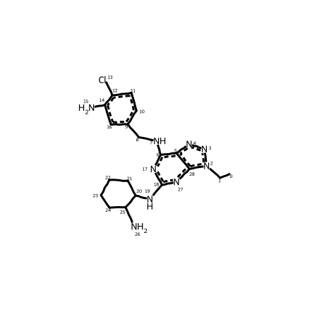 CCn1nnc2c(NCc3ccc(Cl)c(N)c3)nc(NC3CCCCC3N)nc21